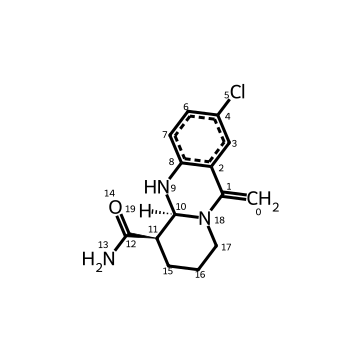 C=C1c2cc(Cl)ccc2N[C@@H]2[C@H](C(N)=O)CCCN12